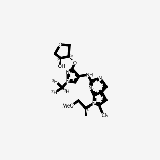 [2H]C([2H])([2H])n1cc(Nc2ncc3cc(C#N)n([C@@H](C)COC)c3n2)c(O[C@H]2COC[C@@H]2O)n1